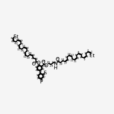 CC/C=C\C/C=C\C/C=C\C/C=C\C/C=C\C/C=C\CCC(=O)NCCCOC(=O)c1cc(-c2ccc(F)cc2F)ccc1OC(=O)CC/C=C\C/C=C\C/C=C\C/C=C\C/C=C\C/C=C\CC